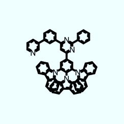 c1ccc(-c2nc(-c3cccc(-c4cccnc4)c3)cc(-c3cc(-n4c5ccccc5c5ccccc54)c(-n4c5ccccc5c5ccccc54)c(-n4c5ccccc5c5ccccc54)c3)n2)cc1